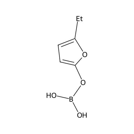 CCc1ccc(OB(O)O)o1